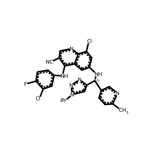 Cc1ccc([C@H](Nc2cc(Cl)c3ncc(C#N)c(Nc4ccc(F)c(Cl)c4)c3c2)c2cn(C(C)C)nn2)cn1